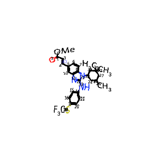 COC(=O)/C=C/c1ccc2c(c1)nc(Nc1ccc(SC(F)(F)F)cc1)n2C1C[C@H](C)CC(C)(C)C1